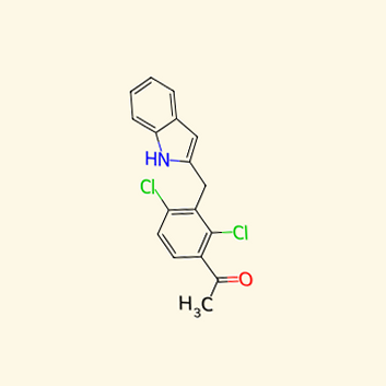 CC(=O)c1ccc(Cl)c(Cc2cc3ccccc3[nH]2)c1Cl